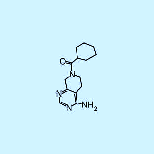 Nc1ncnc2c1CCN(C(=O)C1CCCCC1)C2